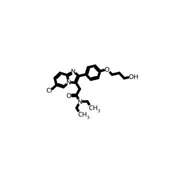 CCN(CC)C(=O)Cc1c(-c2ccc(OCCCO)cc2)nc2ccc(Cl)cn12